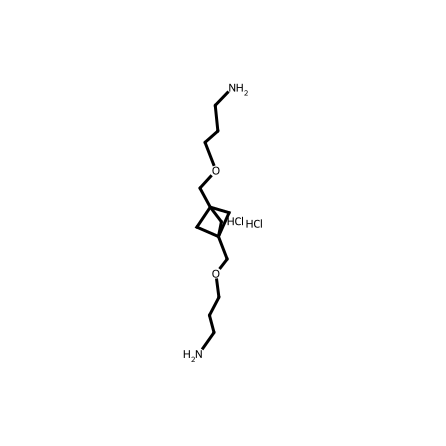 Cl.Cl.NCCCOCC12CC(COCCCN)(C1)C2